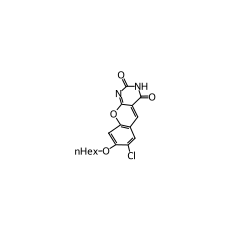 CCCCCCOc1cc2oc3nc(=O)[nH]c(=O)c-3cc2cc1Cl